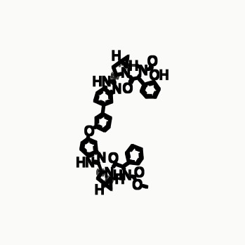 COC(=O)NC(C(=O)N1[C@@H]2C[C@@H]2C[C@H]1c1nc2cc(Oc3cccc(-c4ccc5[nH]c([C@@H]6C[C@H]7C[C@H]7N6C(=O)C(c6ccccc6)N(C)C(=O)O)nc5c4)c3)ccc2[nH]1)c1ccccc1